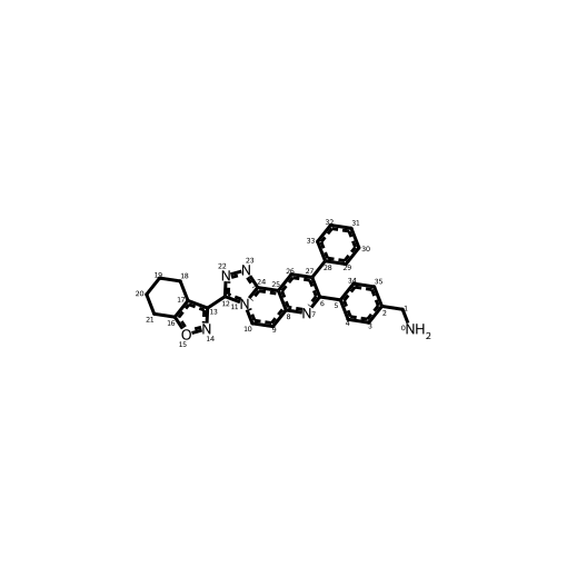 NCc1ccc(-c2nc3ccn4c(-c5noc6c5CCCC6)nnc4c3cc2-c2ccccc2)cc1